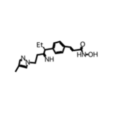 CC[C@H](C(=N)CCn1cc(C)cn1)c1ccc(/C=C/C(=O)NO)cc1